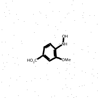 COc1cc(C(=O)O)ccc1NO